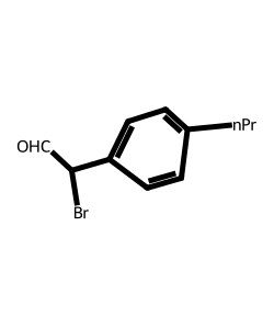 CCCc1ccc(C(Br)C=O)cc1